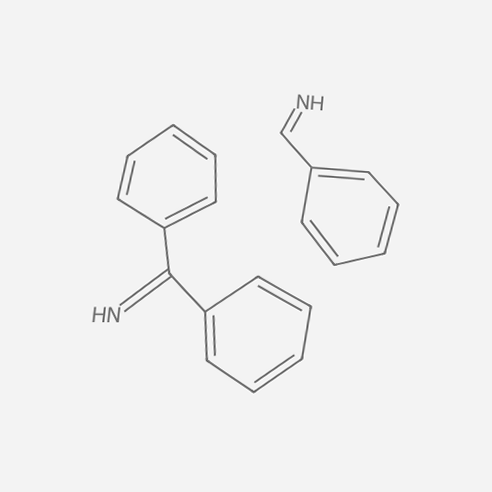 N=C(c1ccccc1)c1ccccc1.N=Cc1ccccc1